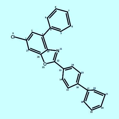 Clc1cc(-c2ccccc2)c2nc(-c3ccc(-c4ccccc4)cc3)oc2c1